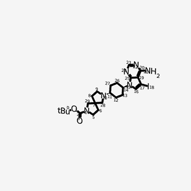 CC(C)(C)OC(=O)N1CCC2(CCN([C@H]3CC[C@H](n4cc(I)c5c(N)ncnc54)CC3)C2)C1